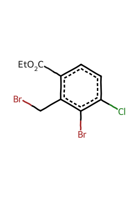 CCOC(=O)c1ccc(Cl)c(Br)c1CBr